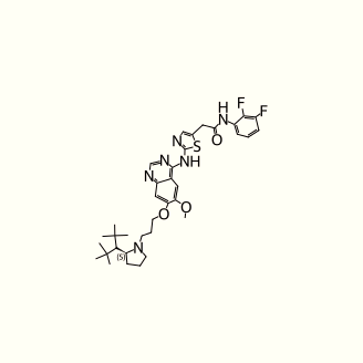 COc1cc2c(Nc3ncc(CC(=O)Nc4cccc(F)c4F)s3)ncnc2cc1OCCCN1CCC[C@H]1C(C(C)(C)C)C(C)(C)C